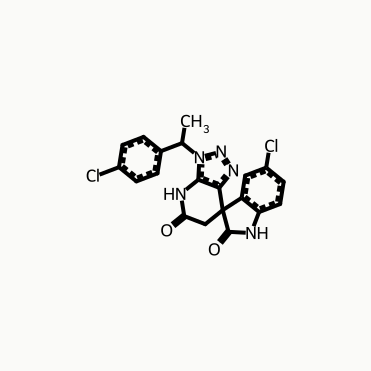 CC(c1ccc(Cl)cc1)n1nnc2c1NC(=O)CC21C(=O)Nc2ccc(Cl)cc21